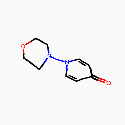 O=c1ccn(N2CCOCC2)cc1